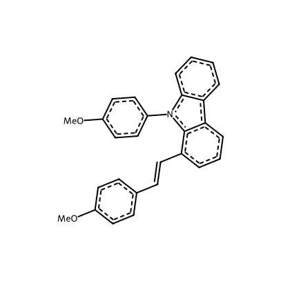 COc1ccc(C=Cc2cccc3c4ccccc4n(-c4ccc(OC)cc4)c23)cc1